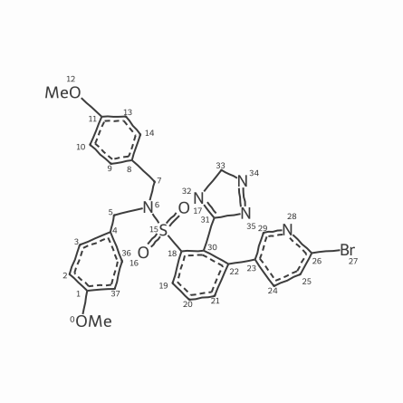 COc1ccc(CN(Cc2ccc(OC)cc2)S(=O)(=O)c2cccc(-c3ccc(Br)nc3)c2C2=NCN=N2)cc1